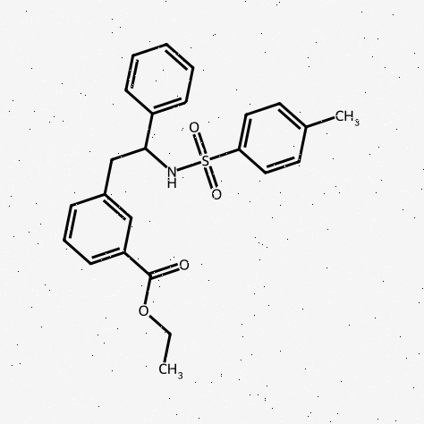 CCOC(=O)c1cccc(CC(NS(=O)(=O)c2ccc(C)cc2)c2ccccc2)c1